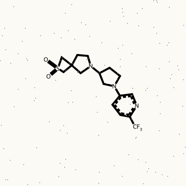 O=S1(=O)CC2(CCN(C3CCN(c4ccc(C(F)(F)F)nc4)C3)C2)C1